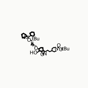 CC(C)(C)OC(=O)N1CCC(CCc2noc3c(CO)c(OC[C@@H]4C[C@@H]4C(O[SiH](c4ccccc4)c4ccccc4)C(C)(C)C)ccc23)CC1